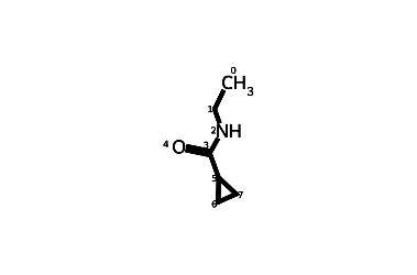 C[CH]NC(=O)C1CC1